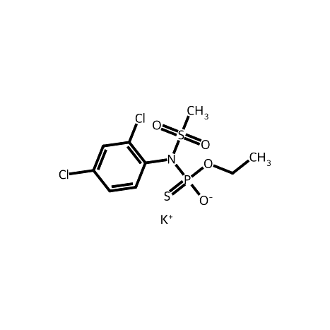 CCOP([O-])(=S)N(c1ccc(Cl)cc1Cl)S(C)(=O)=O.[K+]